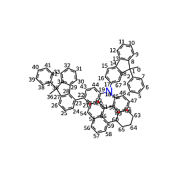 CC1(c2ccccc2)c2ccccc2-c2ccc(N(c3ccc(-c4cccc5c4-c4ccccc4C5(C)c4ccccc4)cc3)c3ccccc3-c3cccc4cccc(C5CCCCC5)c34)cc21